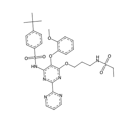 CCS(=O)(=O)NCCCOc1nc(-c2ncccn2)nc(NS(=O)(=O)c2ccc(C(C)(C)C)cc2)c1Oc1ccccc1OC